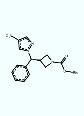 CC(C)(C)OC(=O)N1CC([C@@H](c2ccccc2)n2cc([N+](=O)[O-])cn2)C1